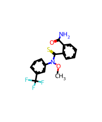 CON(C(=S)c1ccccc1C(N)=O)c1cccc(C(F)(F)F)c1